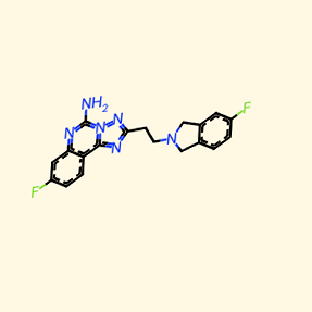 Nc1nc2cc(F)ccc2c2nc(CCN3Cc4ccc(F)cc4C3)nn12